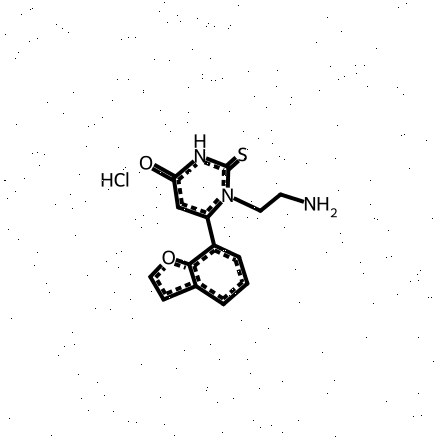 Cl.NCCn1c(-c2cccc3ccoc23)cc(=O)[nH]c1=S